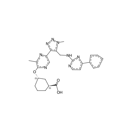 Cc1nc(-c2nnn(C)c2CNc2nccc(-c3ccccc3)n2)cnc1O[C@H]1CCC[C@H](C(=O)O)C1